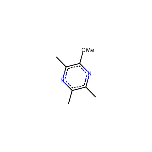 COc1nc(C)c(C)nc1C